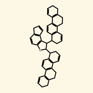 [C]1=CCc2ccc3c(c21)C(C1CC=Cc2c1ccc1c2CCC2=C1C=CCC2)C(C1CC=Cc2c1ccc1c2CCC2=C1C=CCC2)O3